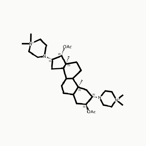 CC(=O)O[C@H]1CC2CCC3C(CC[C@@]4(C)C3C[C@H](N3CC[N+](C)(C)CC3)[C@@H]4OC(C)=O)[C@@]2(C)C[C@@H]1N1CC[N+](C)(C)CC1